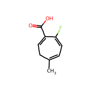 CC1=CC=C(F)C(C(=O)O)=CC1